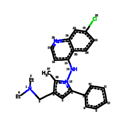 CCN(CC)Cc1cc(-c2ccccc2)n(Nc2ccnc3cc(Cl)ccc23)c1C